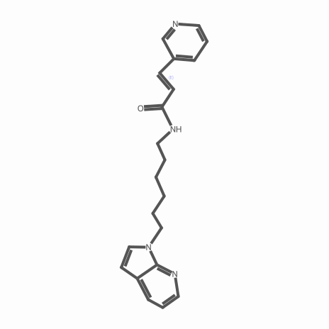 O=C(/C=C/c1cccnc1)NCCCCCCn1ccc2cccnc21